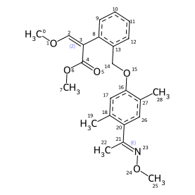 CO/C=C(\C(=O)OC)c1ccccc1COc1cc(C)c(/C(C)=N/OC)cc1C